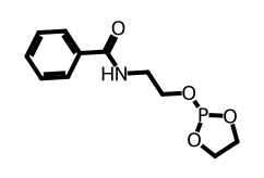 O=C(NCCOP1OCCO1)c1ccccc1